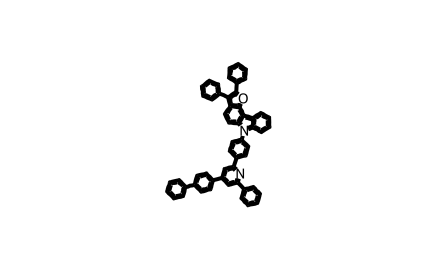 c1ccc(-c2ccc(-c3cc(-c4ccccc4)nc(-c4ccc(-n5c6ccccc6c6c7oc(-c8ccccc8)c(-c8ccccc8)c7ccc65)cc4)c3)cc2)cc1